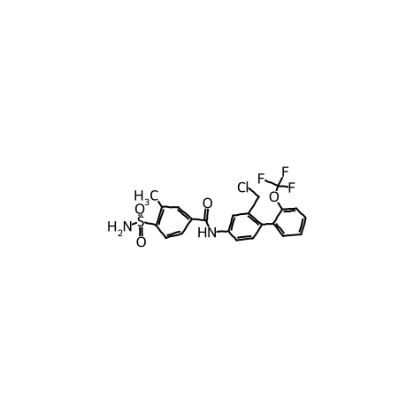 Cc1cc(C(=O)Nc2ccc(-c3ccccc3OC(F)(F)F)c(CCl)c2)ccc1S(N)(=O)=O